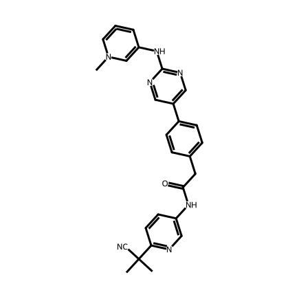 CN1C=C=CC(Nc2ncc(-c3ccc(CC(=O)Nc4ccc(C(C)(C)C#N)nc4)cc3)cn2)=C1